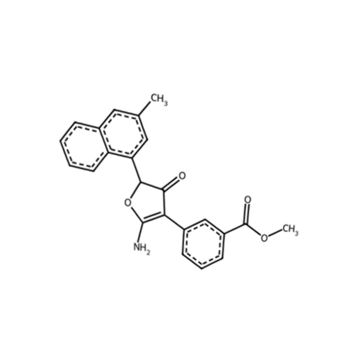 COC(=O)c1cccc(C2=C(N)OC(c3cc(C)cc4ccccc34)C2=O)c1